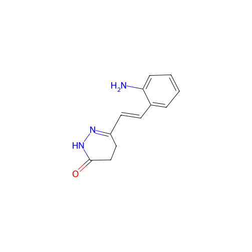 Nc1ccccc1C=CC1=NNC(=O)CC1